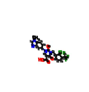 Cn1cnc2cc(-n3cc(C(=O)O)c(=O)n(Cc4cccc(C(F)(F)F)c4Cl)c3=O)ccc21